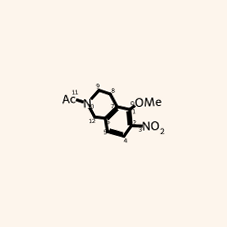 COc1c([N+](=O)[O-])ccc2c1CCN(C(C)=O)C2